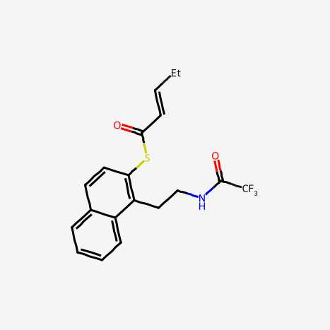 CC/C=C/C(=O)Sc1ccc2ccccc2c1CCNC(=O)C(F)(F)F